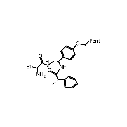 CCCC(C)COc1ccc([C@@H](CNC(=O)[C@@H](N)CC)NC(=O)[C@@H](C)c2ccccc2)cc1